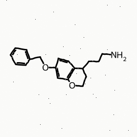 NCCCC1CCOc2cc(OCc3ccccc3)ccc21